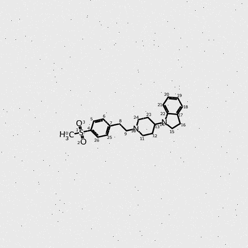 CS(=O)(=O)c1ccc(CCN2CCC(N3CCc4ccccc43)CC2)cc1